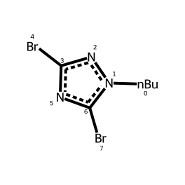 CCCCn1nc(Br)nc1Br